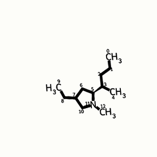 CCCC(C)[C@@H]1CC(CC)CN1C